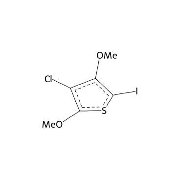 COc1sc(I)c(OC)c1Cl